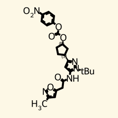 Cc1cc(CC(=O)Nc2cc([C@H]3CC[C@@H](OC(=O)Oc4ccc([N+](=O)[O-])cc4)C3)nn2C(C)(C)C)on1